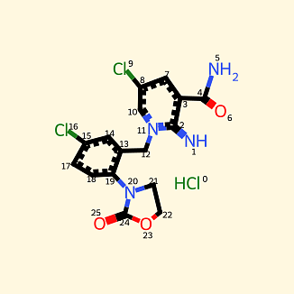 Cl.N=c1c(C(N)=O)cc(Cl)cn1Cc1cc(Cl)ccc1N1CCOC1=O